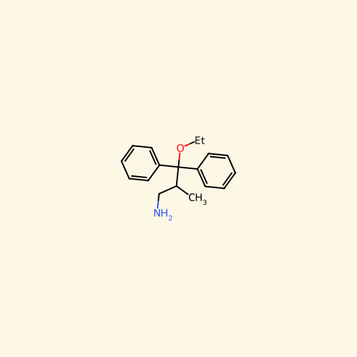 CCOC(c1ccccc1)(c1ccccc1)C(C)CN